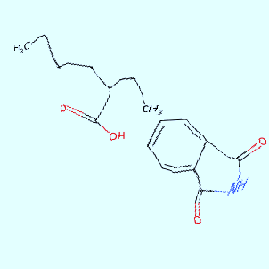 CCCCC(CC)C(=O)O.O=C1NC(=O)c2ccccc21